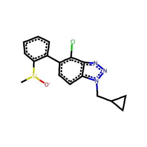 C[S+]([O-])c1ccccc1-c1ccc2c(nnn2CC2CC2)c1Cl